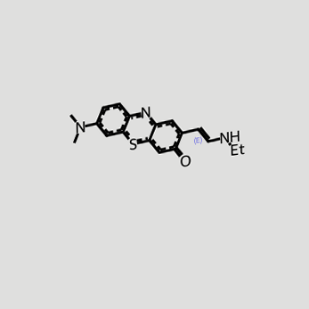 CCN/C=C/c1cc2nc3ccc(N(C)C)cc3sc-2cc1=O